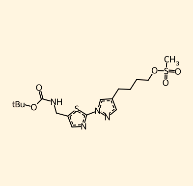 CC(C)(C)OC(=O)NCc1cnc(-n2cc(CCCCOS(C)(=O)=O)cn2)s1